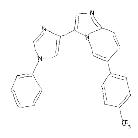 FC(F)(F)c1ccc(-c2ccc3ncc(-c4cn(-c5ccccc5)cn4)n3c2)cc1